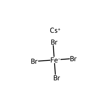 [Br][Fe-]([Br])([Br])[Br].[Cs+]